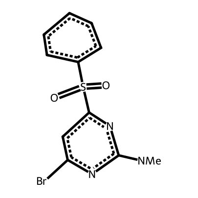 CNc1nc(Br)cc(S(=O)(=O)c2ccccc2)n1